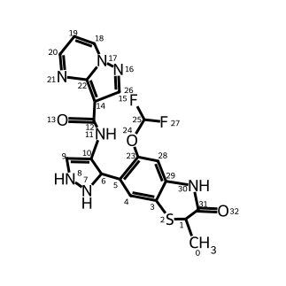 CC1Sc2cc(C3NNC=C3NC(=O)c3cnn4cccnc34)c(OC(F)F)cc2NC1=O